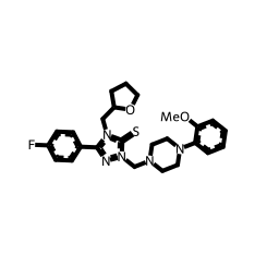 COc1ccccc1N1CCN(Cn2nc(-c3ccc(F)cc3)n(CC3CCCO3)c2=S)CC1